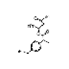 CCCC(=O)OC(CCC)OC(=O)C(C)c1ccc(CC(C)C)cc1